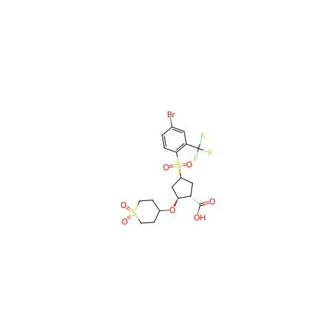 O=C(O)[C@H]1C[C@H](S(=O)(=O)c2ccc(Br)cc2C(F)(F)F)C[C@@H]1OC1CCS(=O)(=O)CC1